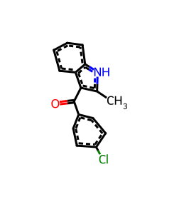 Cc1[nH]c2ccccc2c1C(=O)c1ccc(Cl)cc1